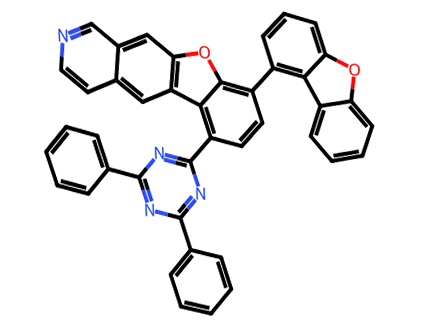 c1ccc(-c2nc(-c3ccccc3)nc(-c3ccc(-c4cccc5oc6ccccc6c45)c4oc5cc6cnccc6cc5c34)n2)cc1